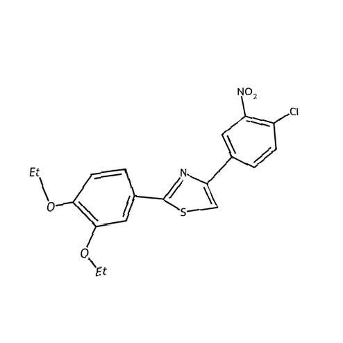 CCOc1ccc(-c2nc(-c3ccc(Cl)c([N+](=O)[O-])c3)cs2)cc1OCC